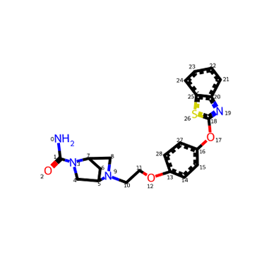 NC(=O)N1CC2CC1CN2CCOc1ccc(Oc2nc3ccccc3s2)cc1